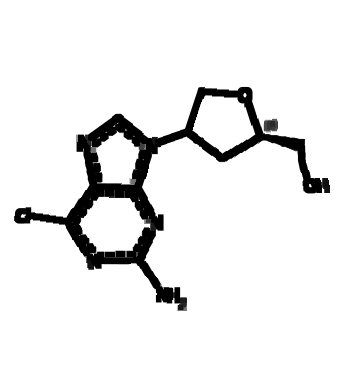 Nc1nc(Cl)c2ncn(C3CO[C@@H](CO)C3)c2n1